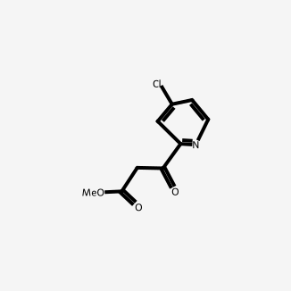 COC(=O)CC(=O)c1cc(Cl)ccn1